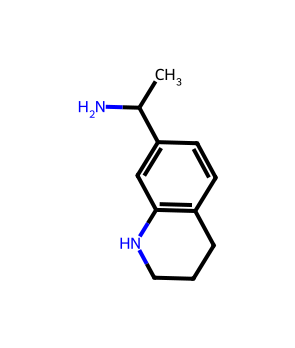 CC(N)c1ccc2c(c1)NCCC2